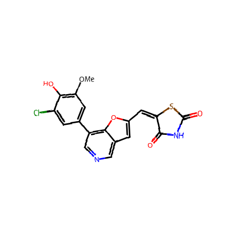 COc1cc(-c2cncc3cc(C=C4SC(=O)NC4=O)oc23)cc(Cl)c1O